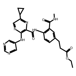 CCOC(=O)CCc1ccc(NC(=O)c2nc(C3CC3)cnc2Nc2cncnc2)c(C(=O)NC)c1